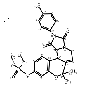 CCOP(=O)(OCC)Oc1ccc2c(c1)OC(C)(C)C1=CCn3c(=O)n(-c4ccc(C(F)(F)F)cc4)c(=O)n3C12